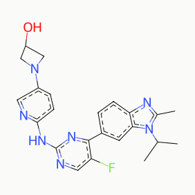 Cc1nc2ccc(-c3nc(Nc4ccc(N5CC(O)C5)cn4)ncc3F)cc2n1C(C)C